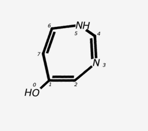 OC1=CN=CNC=C1